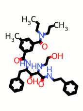 CCCN(CCC)C(=O)c1cc(C)cc(C(=O)NC(Cc2ccccc2)C(O)C(NCCO)C(=O)NCCc2ccccc2)c1